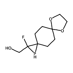 OCC1(F)PC12CCC1(CC2)OCCO1